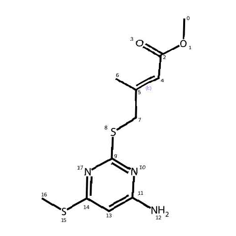 COC(=O)/C=C(\C)CSc1nc(N)cc(SC)n1